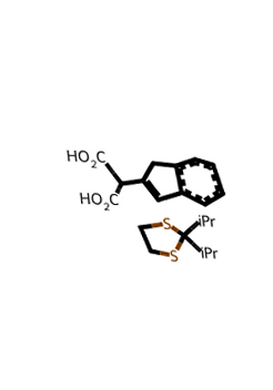 CC(C)C1(C(C)C)SCCS1.O=C(O)C(C(=O)O)C1=Cc2ccccc2C1